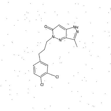 Cc1n[nH]c2cc(=O)n(CCCc3ccc(Cl)c(Cl)c3)nc12